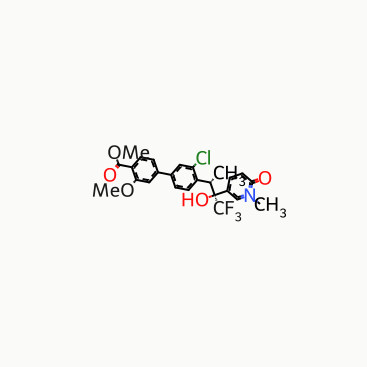 COC(=O)c1ccc(-c2ccc([C@H](C)[C@](O)(c3ccc(=O)n(C)c3)C(F)(F)F)c(Cl)c2)cc1OC